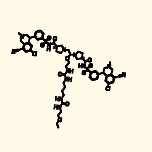 CCOCCNC(=O)NCCCCNC(=O)NCCOC(CN1CC[C@@H](C(=O)NS(=O)(=O)c2cccc(C3CN(C)Cc4c(C#N)cc(Cl)cc43)c2)C1)N1CC[C@@H](C(=O)NS(=O)(=O)c2cccc(C3CN(C)Cc4c(C#N)cc(Cl)cc43)c2)C1